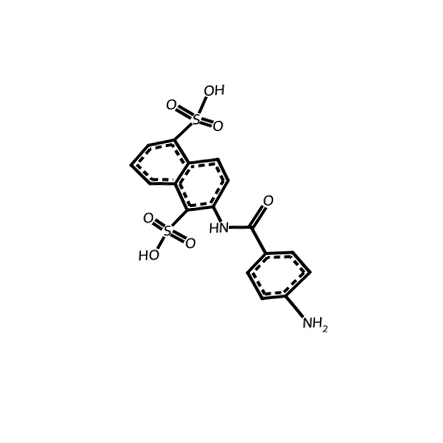 Nc1ccc(C(=O)Nc2ccc3c(S(=O)(=O)O)cccc3c2S(=O)(=O)O)cc1